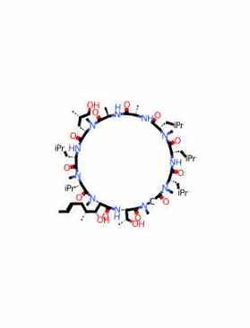 C/C=C/C[C@@H](C)[C@@H](O)[C@H]1C(=O)N[C@@H]([C@@H](C)O)C(=O)N(C)CC(=O)N(C)[C@@H](CC(C)C)C(=O)N[C@@H](CC(C)C)C(=O)N(C)[C@@H](CC(C)C)C(=O)N[C@@H](C)C(=O)N[C@H](C)C(=O)N(C)[C@@H](C[C@H](C)CO)C(=O)N[C@@H](CC(C)C)C(=O)N(C)[C@@H](C(C)C)C(=O)N1C